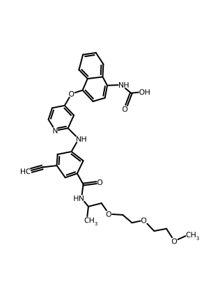 C#Cc1cc(Nc2cc(Oc3ccc(NC(=O)O)c4ccccc34)ccn2)cc(C(=O)NC(C)COCCOCCOC)c1